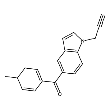 C#CCn1ccc2cc(C(=O)C3=CCC(C)C=C3)ccc21